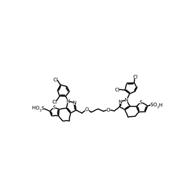 O=S(=O)(O)c1cc2c(s1)-c1c(c(COCCCOCc3nn(-c4ccc(Cl)cc4Cl)c4c3CCc3cc(S(=O)(=O)O)sc3-4)nn1-c1ccc(Cl)cc1Cl)CC2